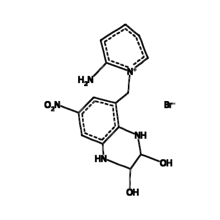 Nc1cccc[n+]1Cc1cc([N+](=O)[O-])cc2c1NC(O)C(O)N2.[Br-]